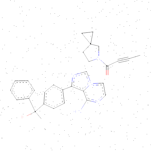 CC#CC(=O)N1CC2(CC2)C[C@H]1c1nc(-c2ccc(C(C)(O)c3ccccc3)cc2)c2c(N)nccn12